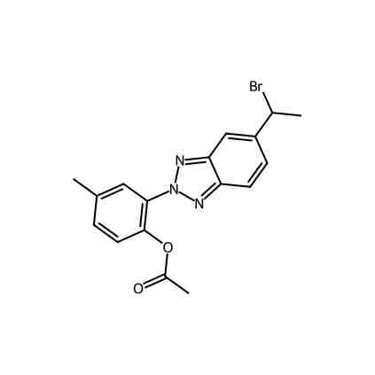 CC(=O)Oc1ccc(C)cc1-n1nc2ccc(C(C)Br)cc2n1